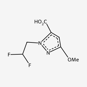 COc1cc(C(=O)O)n(CC(F)F)n1